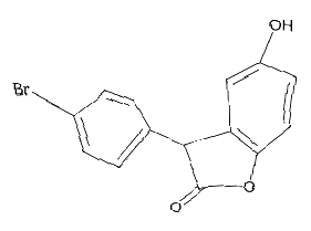 O=C1Oc2ccc(O)cc2C1c1ccc(Br)cc1